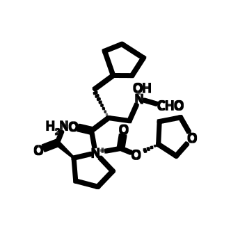 NC(=O)[C@@H]1CCC[N+]1(C(=O)O[C@@H]1CCOC1)C(=O)[C@H](CC1CCCC1)CN(O)C=O